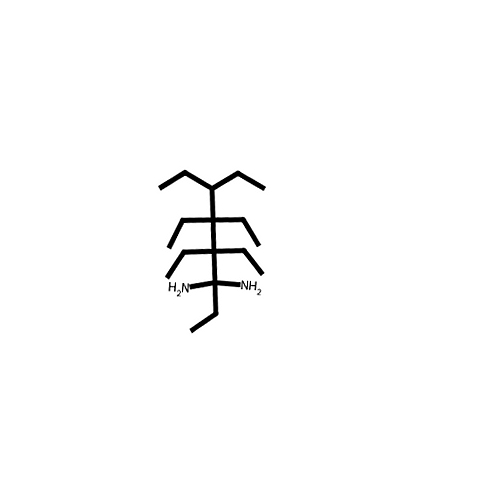 CCC(CC)C(CC)(CC)C(CC)(CC)C(N)(N)CC